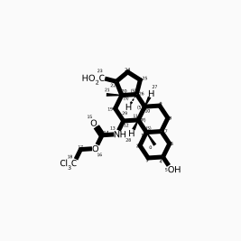 C[C@]12CCC(O)CC1CC[C@@H]1[C@H]2C(NC(=O)OCC(Cl)(Cl)Cl)C[C@]2(C)C(C(=O)O)CC[C@@H]12